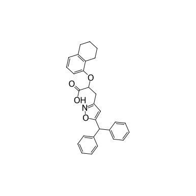 O=C(O)C(Cc1cc(C(c2ccccc2)c2ccccc2)on1)Oc1cccc2c1CCCC2